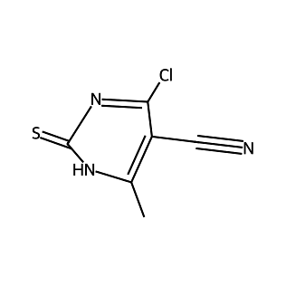 Cc1[nH]c(=S)nc(Cl)c1C#N